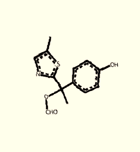 Cc1cnc(C(C)(OC=O)c2ccc(O)cc2)s1